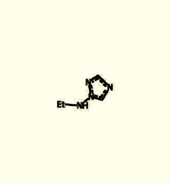 CCNn1cncn1